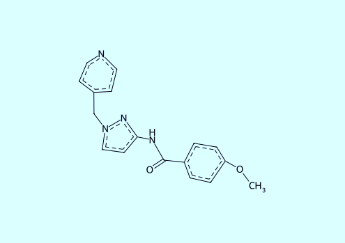 COc1ccc(C(=O)Nc2ccn(Cc3ccncc3)n2)cc1